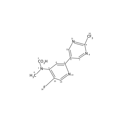 CN(C(=O)O)c1cc(-c2cnc(C(F)(F)F)nc2)ncc1F